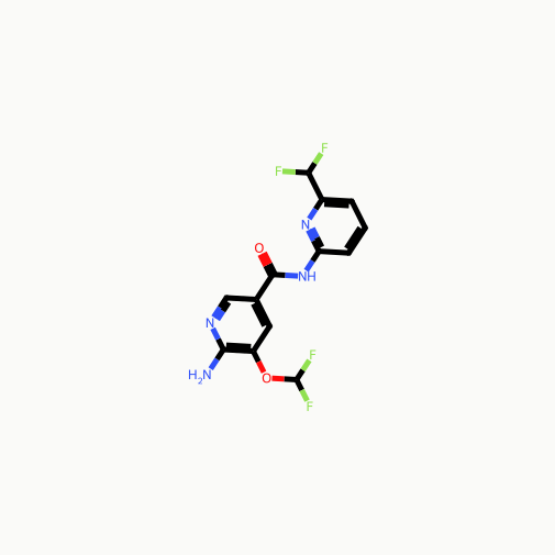 Nc1ncc(C(=O)Nc2cccc(C(F)F)n2)cc1OC(F)F